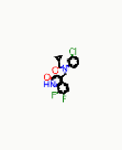 O=C(C1CC1)N(Cc1cc(=O)[nH]c2c(F)c(F)ccc12)c1cccc(Cl)c1